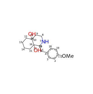 COc1ccc(C[C@@H]2NCC[C@]3(O)CCCCC23O)cc1